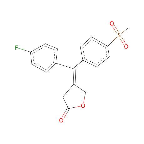 CS(=O)(=O)c1ccc(C(=C2COC(=O)C2)c2ccc(F)cc2)cc1